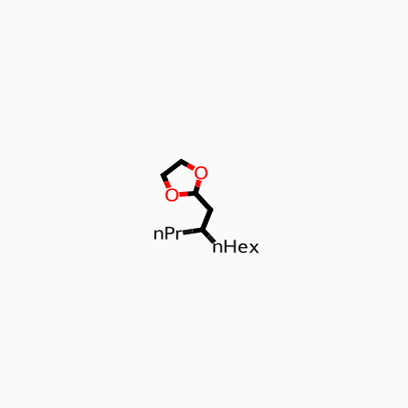 CCCCCCC(CCC)CC1OCCO1